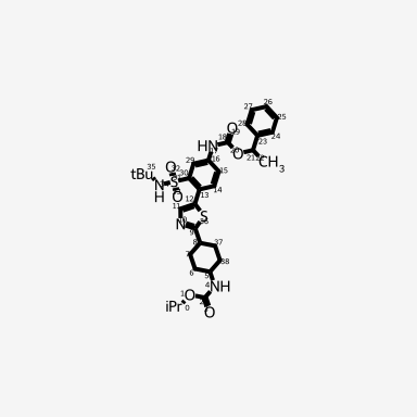 CC(C)OC(=O)NC1CCC(c2ncc(-c3ccc(NC(=O)OC(C)c4ccccc4)cc3S(=O)(=O)NC(C)(C)C)s2)CC1